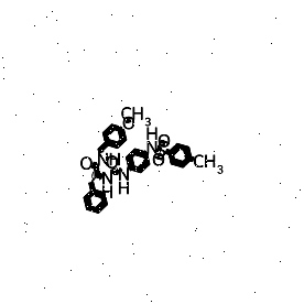 COc1ccc(CNC(=O)[C@@H](Cc2ccccc2)NC(=O)Nc2ccc(NS(=O)(=O)c3ccc(C)cc3)cc2)cc1